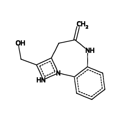 C=C1Cc2c(CO)[nH]n2-c2ccccc2N1